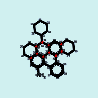 Nc1cccc(-c2ccccc2P(C2CCCCC2)C2CCCCC2)c1-c1ccccc1P(C1CCCCC1)C1CCCCC1